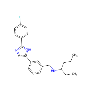 CCCC(CC)NCc1cccc(-c2cnc(-c3ccc(F)cc3)[nH]2)c1